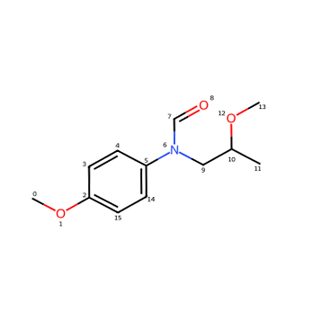 COc1ccc(N(C=O)CC(C)OC)cc1